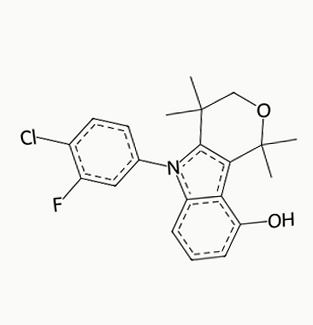 CC1(C)COC(C)(C)c2c1n(-c1ccc(Cl)c(F)c1)c1cccc(O)c21